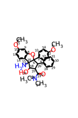 COc1ccc(C23Oc4cc(OC)ccc4C2(N)C(O)C(C(=O)N(C)C)C3c2ccccc2)cc1